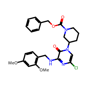 COc1ccc(CNc2nc(Cl)cn(C3CCCN(C(=O)OCc4ccccc4)C3)c2=O)c(OC)c1